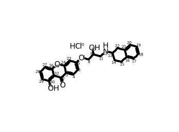 Cl.O=c1c2ccc(OCC(O)CNC3CCc4ccccc4C3)cc2oc2cccc(O)c12